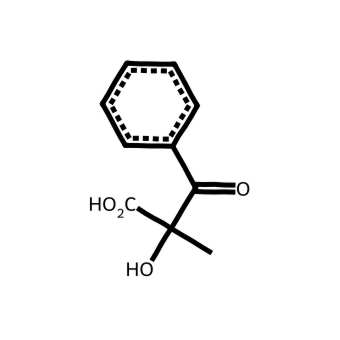 CC(O)(C(=O)O)C(=O)c1ccccc1